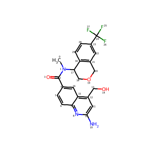 CN(C(=O)c1ccc2nc(N)cc(CO)c2c1)C1COCc2cc(C(F)(F)F)ccc21